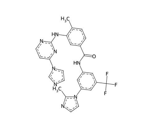 Cc1ccc(C(=O)Nc2cc(-n3ccnc3C)cc(C(F)(F)F)c2)cc1Nc1nccc(-n2ccnc2)n1